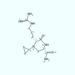 N=C(N)NCCC[C@@H]1C(=O)N[C@H](C(N)=O)CN1C1CC1